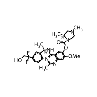 COc1cc2nc(C)nc(N[C@H](C)c3cccc(C(F)(F)CO)c3)c2cc1OC(=O)N1CCN(C)C[C@@H]1C